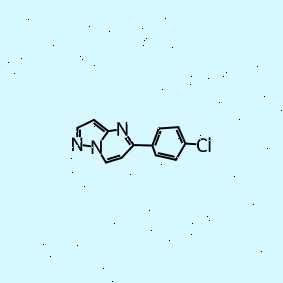 Clc1ccc(-c2ccn3nccc3n2)cc1